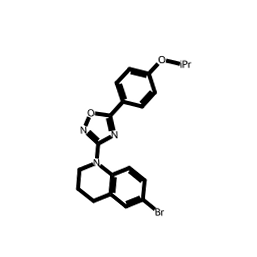 CC(C)Oc1ccc(-c2nc(N3CCCc4cc(Br)ccc43)no2)cc1